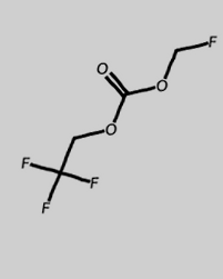 O=C(OCF)OCC(F)(F)F